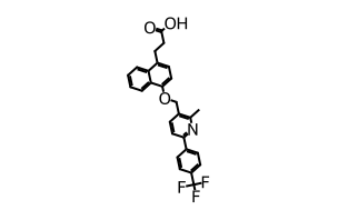 Cc1nc(-c2ccc(C(F)(F)F)cc2)ccc1COc1ccc(CCC(=O)O)c2ccccc12